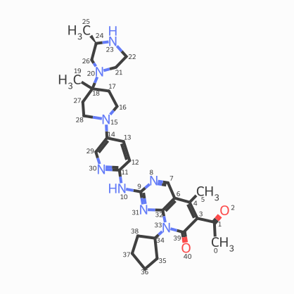 CC(=O)c1c(C)c2cnc(Nc3ccc(N4CCC(C)(N5CCN[C@H](C)C5)CC4)cn3)nc2n(C2CCCC2)c1=O